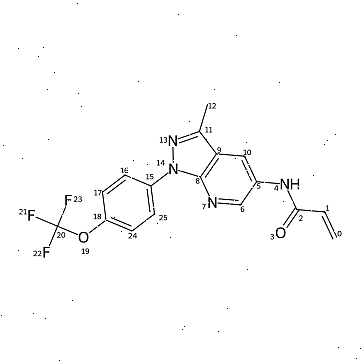 C=CC(=O)Nc1cnc2c(c1)c(C)nn2-c1ccc(OC(F)(F)F)cc1